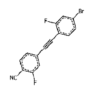 N#Cc1ccc(C#Cc2ccc(Br)cc2F)cc1F